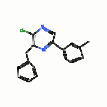 Cc1cccc(-c2cnc(Cl)c(Cc3ccccc3)n2)c1